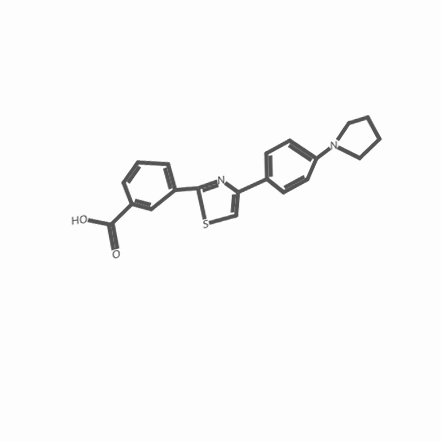 O=C(O)c1cccc(-c2nc(-c3ccc(N4CCCC4)cc3)cs2)c1